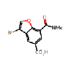 CNC(=O)c1cc(C(=O)O)cc2c(Br)coc12